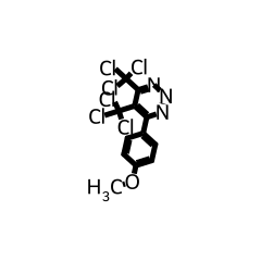 COc1ccc(-c2nnnc(C(Cl)(Cl)Cl)c2C(Cl)(Cl)Cl)cc1